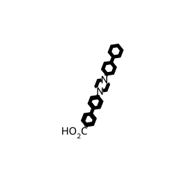 O=C(O)c1ccc(-c2ccc(N3CCN(C4CCC(C5CCCCC5)CC4)CC3)cc2)cc1